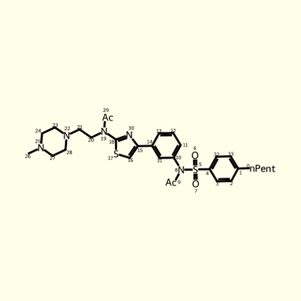 CCCCCc1ccc(S(=O)(=O)N(C(C)=O)c2cccc(-c3csc(N(CCN4CCN(C)CC4)C(C)=O)n3)c2)cc1